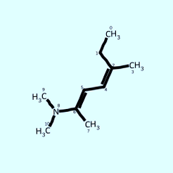 CC/C(C)=C\C=C(/C)N(C)C